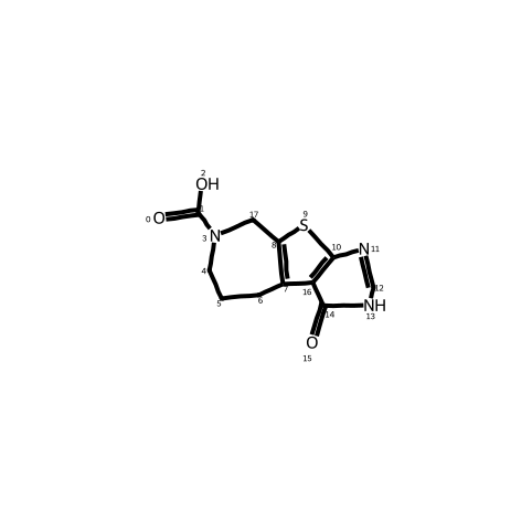 O=C(O)N1CCCc2c(sc3nc[nH]c(=O)c23)C1